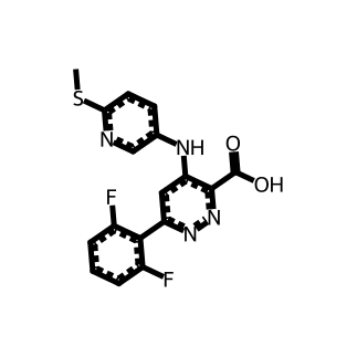 CSc1ccc(Nc2cc(-c3c(F)cccc3F)nnc2C(=O)O)cn1